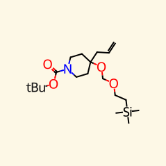 C=CCC1(OCOCC[Si](C)(C)C)CCN(C(=O)OC(C)(C)C)CC1